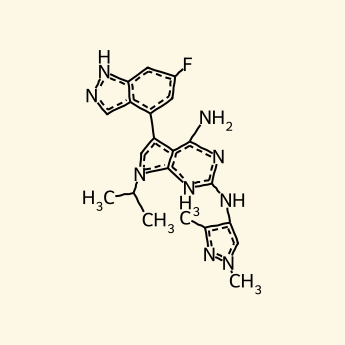 Cc1nn(C)cc1Nc1nc(N)c2c(-c3cc(F)cc4[nH]ncc34)cn(C(C)C)c2n1